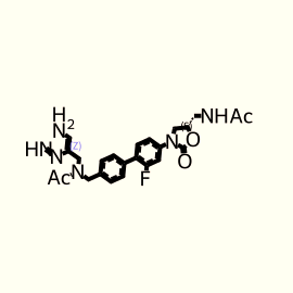 CC(=O)NC[C@H]1CN(c2ccc(-c3ccc(CN(C/C(=C/N)N=N)C(C)=O)cc3)c(F)c2)C(=O)O1